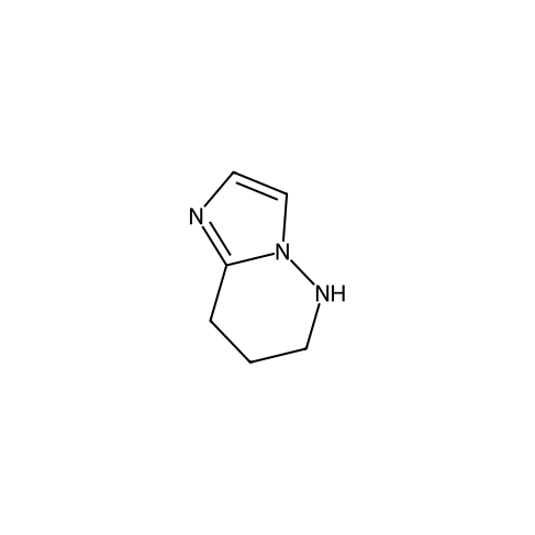 c1cn2c(n1)CCCN2